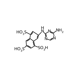 Nc1ncnc(Nc2cc(S(=O)(=O)O)c3cc(S(=O)(=O)O)cc(S(=O)(=O)O)c3c2)n1